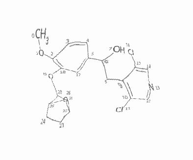 COc1ccc(C(O)Cc2c(Cl)cncc2Cl)cc1OC1CC2CCC1O2